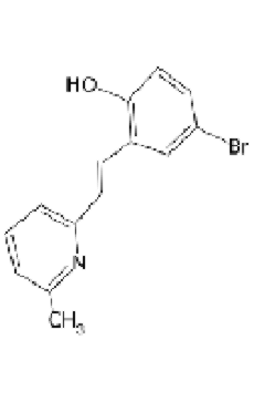 Cc1cccc(/C=C/c2cc(Br)ccc2O)n1